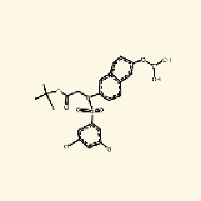 CC(C)(C)OC(=O)CN(c1ccc2cc(OB(O)O)ccc2c1)S(=O)(=O)c1cc(Cl)cc(Cl)c1